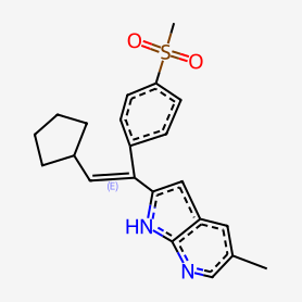 Cc1cnc2[nH]c(/C(=C/C3CCCC3)c3ccc(S(C)(=O)=O)cc3)cc2c1